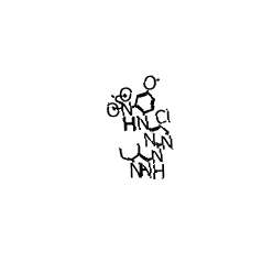 CCc1nn(C)c(Nc2ncc(Cl)c(Nc3ccc(OC)cc3NS(C)(=O)=O)n2)c1C